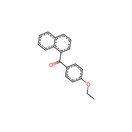 CCOc1ccc(C(=O)c2cccc3ccccc23)cc1